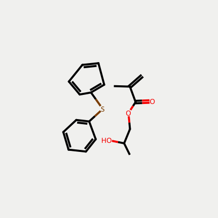 C=C(C)C(=O)OCC(C)O.c1ccc(Sc2ccccc2)cc1